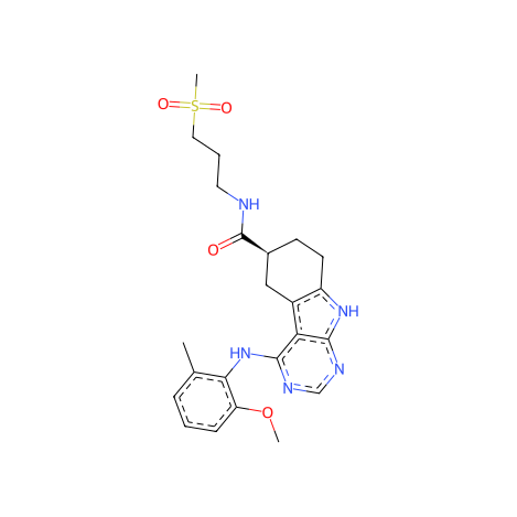 COc1cccc(C)c1Nc1ncnc2[nH]c3c(c12)C[C@@H](C(=O)NCCCS(C)(=O)=O)CC3